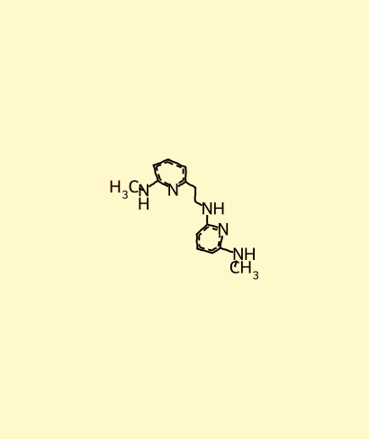 CNc1cccc(CCNc2cccc(NC)n2)n1